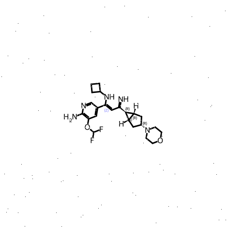 N=C(/C=C(\NC1CCC1)c1cnc(N)c(OC(F)F)c1)[C@H]1[C@@H]2C[C@H](N3CCOCC3)C[C@@H]21